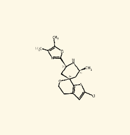 Cc1nc([C@@H]2C[C@]3(C[C@H](C)N2)OCCc2cc(Cl)sc23)oc1C